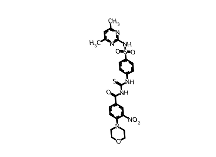 Cc1cc(C)nc(NS(=O)(=O)c2ccc(NC(=S)NC(=O)c3ccc(N4CCOCC4)c([N+](=O)[O-])c3)cc2)n1